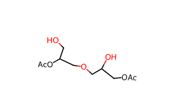 CC(=O)OCC(O)COCC(CO)OC(C)=O